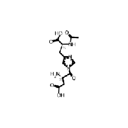 CC(=O)N[C@@H](Cc1cn(C(=O)[C@@H](N)CC(=O)O)cn1)C(=O)O